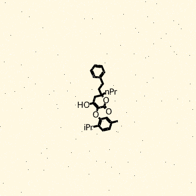 CCCC1(CCc2ccccc2)CC(O)=C(Oc2cc(C)ccc2C(C)C)C(=O)O1